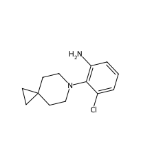 Nc1cccc(Cl)c1N1CCC2(CC1)CC2